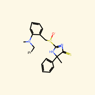 CC(C)CN(C)c1ccccc1C[S+]([O-])C1=NC(=S)C(C)(c2ccccc2)N1